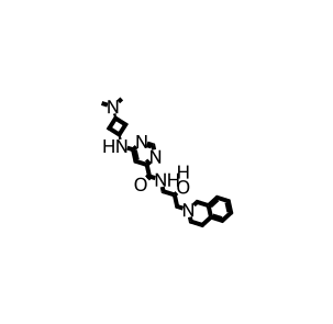 CN(C)[C@H]1C[C@@H](Nc2cc(C(=O)NCC(O)CN3CCc4ccccc4C3)ncn2)C1